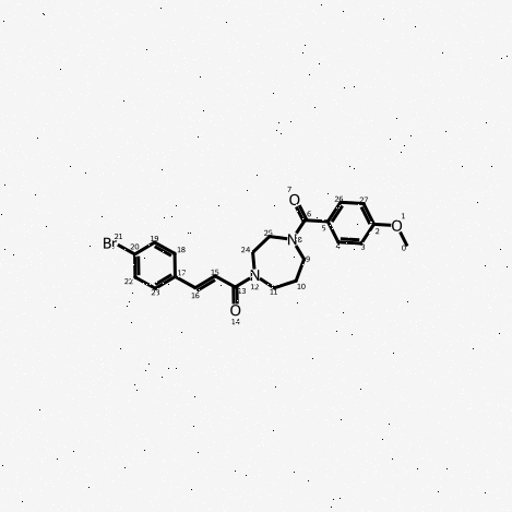 COc1ccc(C(=O)N2CCCN(C(=O)/C=C/c3ccc(Br)cc3)CC2)cc1